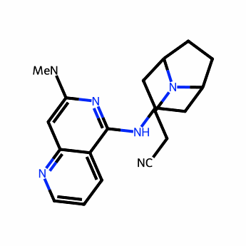 CNc1cc2ncccc2c(NC2CC3CCC(C2)N3CCC#N)n1